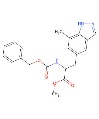 COC(=O)C(Cc1cc(C)c2[nH]ncc2c1)NC(=O)OCc1ccccc1